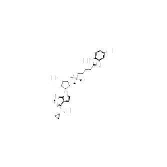 CS(=O)(=O)N(CCCCc1nc2cc(C(F)(F)F)ccc2[nH]1)C[C@H]1C[C@@H](n2ccc3c(NC4CC4)ncnc32)[C@H](O)C1O